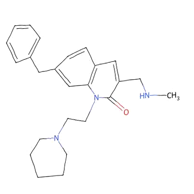 CNCc1cc2ccc(Cc3ccccc3)cc2n(CCN2CCCCC2)c1=O